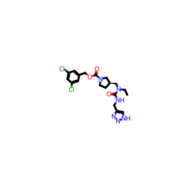 CCN(C[C@H]1CCN(C(=O)OCc2cc(Cl)cc(Cl)c2)C1)C(=O)NCc1c[nH]nn1